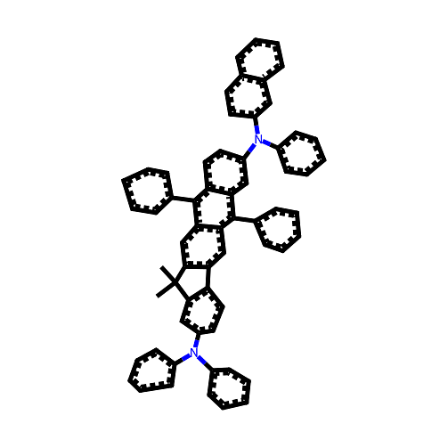 CC1(C)c2cc(N(c3ccccc3)c3ccccc3)ccc2-c2cc3c(-c4ccccc4)c4cc(N(c5ccccc5)c5ccc6ccccc6c5)ccc4c(-c4ccccc4)c3cc21